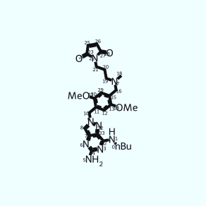 CCCCNc1nc(N)nc2cn(Cc3cc(OC)c(CN(C)CCCN4C(=O)C=CC4=O)cc3OC)nc12